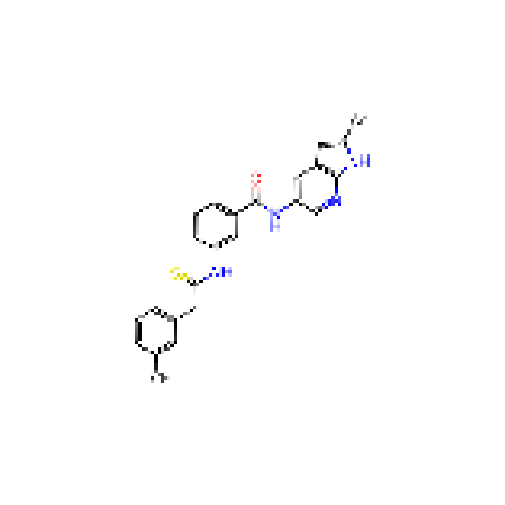 CC(=O)c1cc2cc(NC(=O)c3cccc(NC(=S)Cc4cccc(C(F)(F)F)c4)c3)cnc2[nH]1